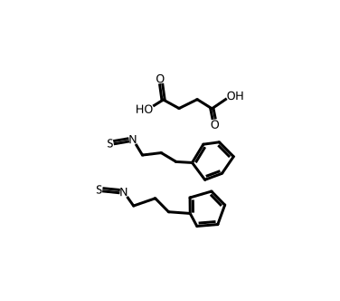 O=C(O)CCC(=O)O.S=NCCCc1ccccc1.S=NCCCc1ccccc1